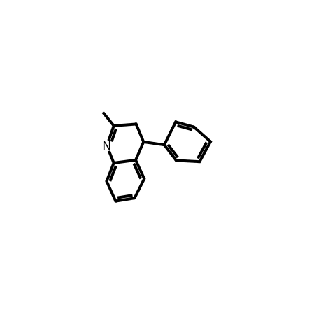 CC1=Nc2ccccc2C(c2ccccc2)C1